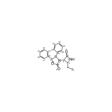 O=C1NC(CI)C1N1C(=O)OC(c2ccccc2)C1c1ccccc1